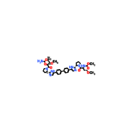 COCC[C@H](NC(=O)OC)C(=O)N1CCC[C@H]1c1ncc(-c2ccc(-c3ccc(-c4cnc([C@@H]5CCCN5C(=O)[C@@H](OC(N)=O)[C@@H](C)OC)[nH]4)cc3)cc2)[nH]1